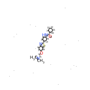 CN(C)CCOc1ccc2nc(-c3ccc(NC(=O)c4ccccc4)cc3)sc2c1